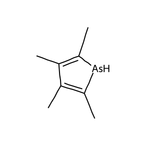 CC1=C(C)C(C)=C(C)[AsH]1